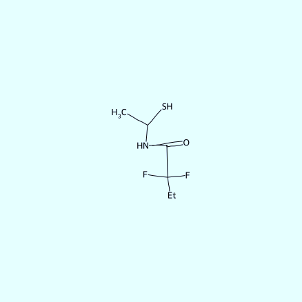 CCC(F)(F)C(=O)NC(C)S